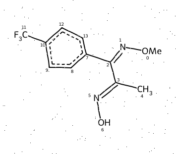 CON=C(C(C)=NO)c1ccc(C(F)(F)F)cc1